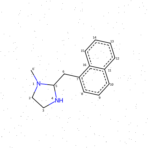 CN1CCNC1Cc1cccc2ccccc12